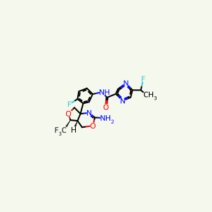 CC(F)c1cnc(C(=O)Nc2ccc(F)c(C34CO[C@H](C(F)(F)F)[C@H]3COC(N)=N4)c2)cn1